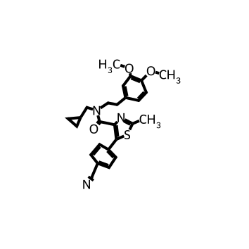 COc1ccc(CCN(CC2CC2)C(=O)c2nc(C)sc2-c2ccc(C#N)cc2)cc1OC